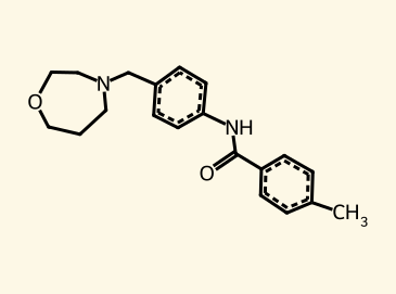 Cc1ccc(C(=O)Nc2ccc(CN3CCCOCC3)cc2)cc1